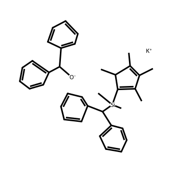 CC1=C(C)C(C)C([Si](C)(C)C(c2ccccc2)c2ccccc2)=C1C.[K+].[O-]C(c1ccccc1)c1ccccc1